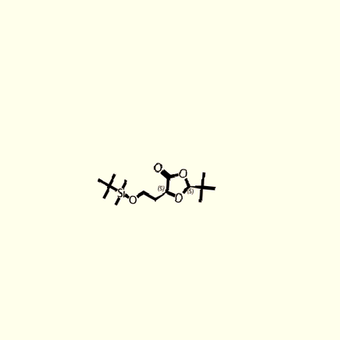 CC(C)(C)[C@@H]1OC(=O)[C@H](CCO[Si](C)(C)C(C)(C)C)O1